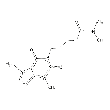 CN(C)C(=O)CCCCn1c(=O)c2c(ncn2C)n(C)c1=O